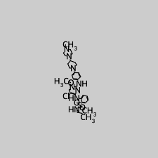 COc1cc(N2CCC(N3CCN(C)CC3)CC2)ccc1Nc1ncc(Cl)c(Nc2ccccc2S(=O)(=O)NCC(C)C)n1